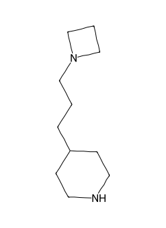 C(CC1CCNCC1)CN1CCC1